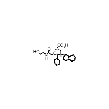 CN(C[C@@H](c1ccc2ccccc2c1)[C@H](OCC(=O)NCCO)c1ccccc1)C(=O)O